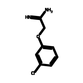 N=C(N)COc1cccc(Cl)c1